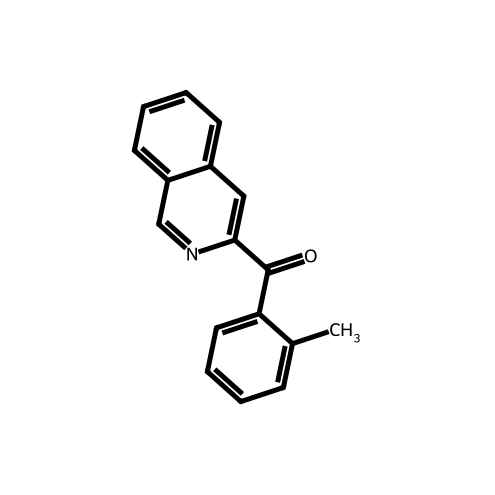 Cc1ccccc1C(=O)c1cc2ccccc2cn1